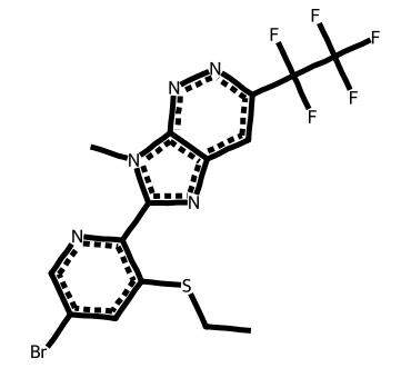 CCSc1cc(Br)cnc1-c1nc2cc(C(F)(F)C(F)(F)F)nnc2n1C